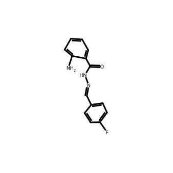 Nc1ccccc1C(=O)NN=Cc1ccc(F)cc1